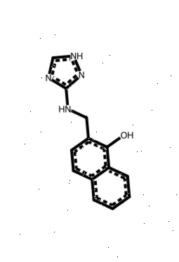 Oc1c(CNc2nc[nH]n2)ccc2ccccc12